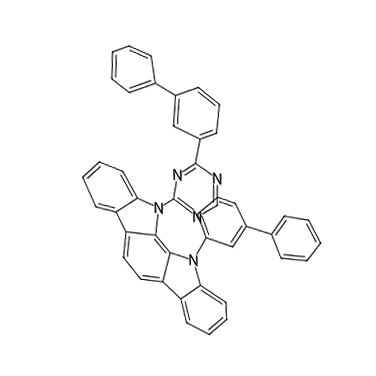 c1ccc(-c2cccc(-c3ncnc(-n4c5ccccc5c5ccc6c7ccccc7n(-c7cccc(-c8ccccc8)c7)c6c54)n3)c2)cc1